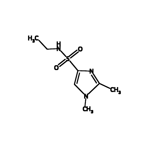 CCNS(=O)(=O)c1cn(C)c(C)n1